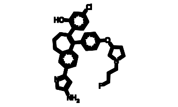 NC1=CC(c2ccc3c(c2)CCCC(c2ccc(Cl)cc2O)=C3c2ccc(OC3CCN(CCCF)C3)cc2)=NC1